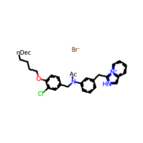 CCCCCCCCCCCCCCOc1ccc(CN(C(C)=O)c2cccc(Cc3[nH]cc4cccc[n+]34)c2)cc1Cl.[Br-]